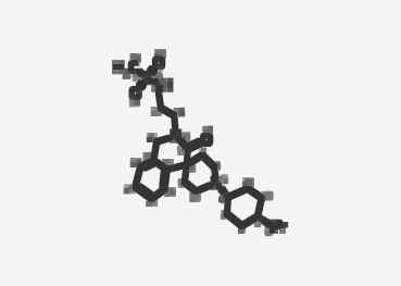 CC(C)[C@H]1CC[C@@H](N2CCC3(CC2)C(=O)N(CCNS(C)(=O)=O)Cc2ccccc23)CC1